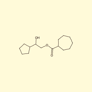 O=C(OCC(O)C1CCCC1)C1CCCCCC1